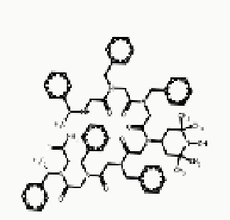 C[C@H](NCC(=O)N(CC(=O)N(CC(=O)N(CC(=O)N(CC(=O)N(CC(=O)N(CC(N)=O)[C@@H](C)c1ccccc1)Cc1ccccc1)Cc1ccccc1)C1CC(C)(C)N(O)C(C)(C)C1)Cc1ccccc1)Cc1ccccc1)c1ccccc1